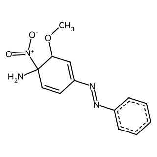 COC1C=C(N=Nc2ccccc2)C=CC1(N)[N+](=O)[O-]